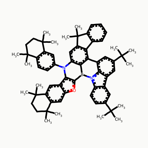 CC(C)(C)c1ccc2c(c1)c1cc(C(C)(C)C)cc3c1n2B1c2oc4cc5c(cc4c2N(c2ccc4c(c2)C(C)(C)CCC4(C)C)c2cc4c(c-3c21)-c1ccccc1C4(C)C)C(C)(C)CCC5(C)C